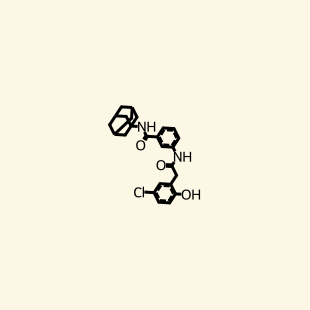 O=C(Cc1cc(Cl)ccc1O)Nc1cccc(C(=O)NC23CC4CC(CC(C4)C2)C3)c1